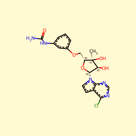 C[C@@]1(O)[C@@H](COc2cccc(NC(N)=O)c2)O[C@@H](n2ccc3c(Cl)ncnc32)[C@@H]1O